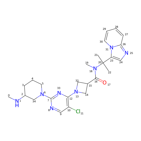 CNC1CCCN(c2ncc(Cl)c(N3CC(C(=O)N(C)C(C)(C)c4cnc5ccccn45)C3)n2)C1